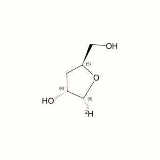 [2H][C@H]1O[C@H](CO)C[C@H]1O